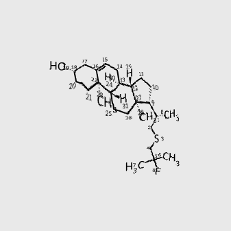 C[C@H](CSCC(C)(C)F)[C@H]1CC[C@H]2[C@@H]3CC=C4C[C@@H](O)CC[C@]4(C)[C@H]3CC[C@]12C